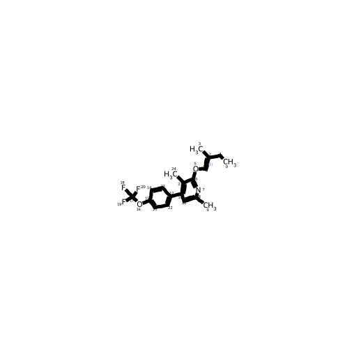 CC/C(C)=C/Oc1nc(C)cc(-c2ccc(OC(F)(F)F)cc2)c1C